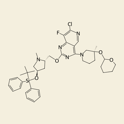 CN1C[C@H](O[Si](c2ccccc2)(c2ccccc2)C(C)(C)C)C[C@H]1COc1nc(N2CCC[C@](C)(OC3CCCCO3)C2)c2cnc(Cl)c(F)c2n1